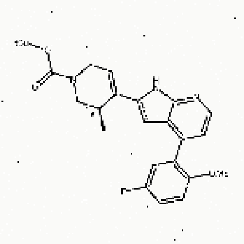 COc1ccc(F)cc1-c1ccnc2[nH]c(C3=CCN(C(=O)OC(C)(C)C)C[C@@H]3C)cc12